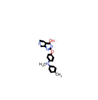 Cc1ccc(N(C)c2ccc(Oc3nc(O)c4ccncc4n3)cc2)cc1